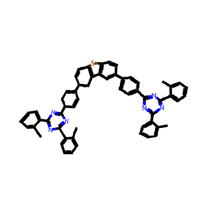 Cc1ccccc1-c1nc(-c2ccc(-c3ccc4sc5c(c4c3)CC(C3=CCC(c4nc(-c6ccccc6C)nc(-c6ccccc6C)n4)C=C3)C=C5)cc2)nc(-c2ccccc2C)n1